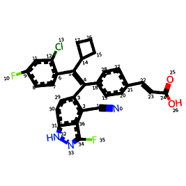 N#Cc1c(C(=C(c2ccc(F)cc2Cl)C2CCC2)c2ccc(C=CC(=O)O)cc2)ccc2[nH]nc(F)c12